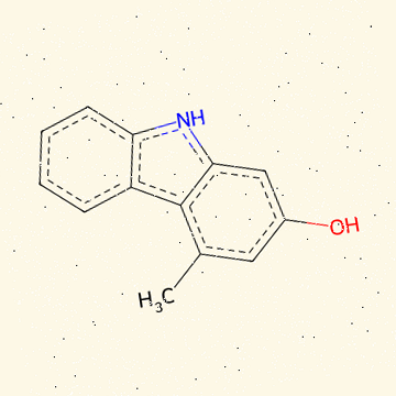 Cc1cc(O)cc2[nH]c3ccccc3c12